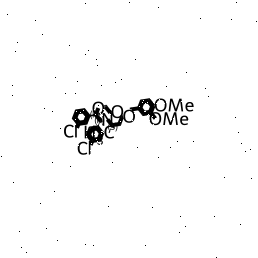 COc1ccc(COCC[C@H](C)N2C(=O)CO[C@H](c3cccc(Cl)c3)[C@H]2c2ccc(Cl)cc2)cc1OC